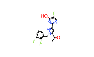 CC(=O)c1cc(-c2ncc(F)c(O)n2)nn1Cc1cccc(F)c1F